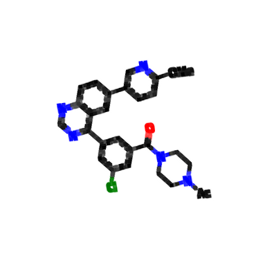 COc1ccc(-c2ccc3ncnc(-c4cc(Cl)cc(C(=O)N5CCN(C(C)=O)CC5)c4)c3c2)cn1